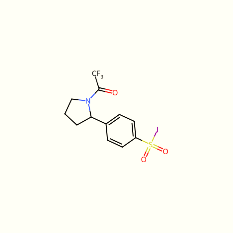 O=C(N1CCCC1c1ccc(S(=O)(=O)I)cc1)C(F)(F)F